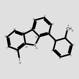 CC1C=CC=CC1c1cccc2c1sc1c(I)cccc12